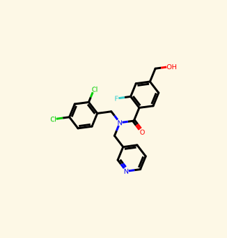 O=C(c1ccc(CO)cc1F)N(Cc1cccnc1)Cc1ccc(Cl)cc1Cl